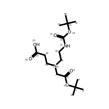 CC(C)(C)OC(=O)CN(CCNC(=O)OC(C)(C)C)CCC(=O)O